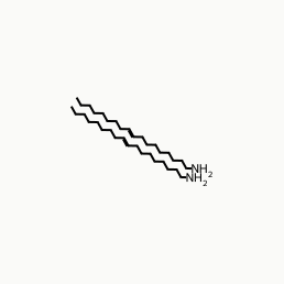 CCCCCCCC/C=C/CCCCCCCCN.CCCCCCCC/C=C/CCCCCCCCN